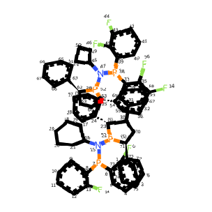 Fc1ccccc1P(c1ccccc1F)N(C1CCCCC1)P1[C@H](c2ccccc2)C(c2cc(F)c(F)c(P(c3cccc(F)c3F)N(C3CCC3)P3[C@H](c4ccccc4)CC[C@H]3c3ccccc3)c2)C[C@H]1c1ccccc1